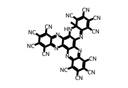 CC12Nc3c(c4nc5c(C#N)c(C#N)c(C#N)c(C#N)c5nc4c4nc5c(C#N)c(C#N)c(C#N)c(C#N)c5nc34)N=C1C(C#N)=C(C#N)C(C#N)=C2C#N